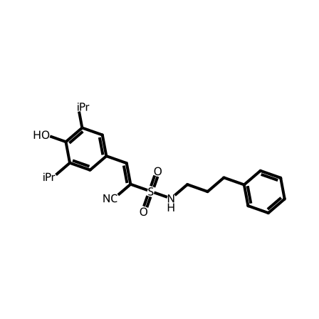 CC(C)c1cc(/C=C(\C#N)S(=O)(=O)NCCCc2ccccc2)cc(C(C)C)c1O